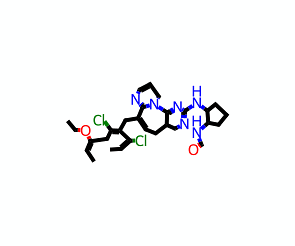 C/C=C(\C/C(Cl)=C(CC1=CCC2CN=C(NC3CCCC3NC=O)N=C2N2CC=CN=C12)\C(Cl)=C/C)OCC